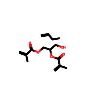 C=C(C)C(=O)OCC(CO)OC(=O)C(=C)C.C=CCC